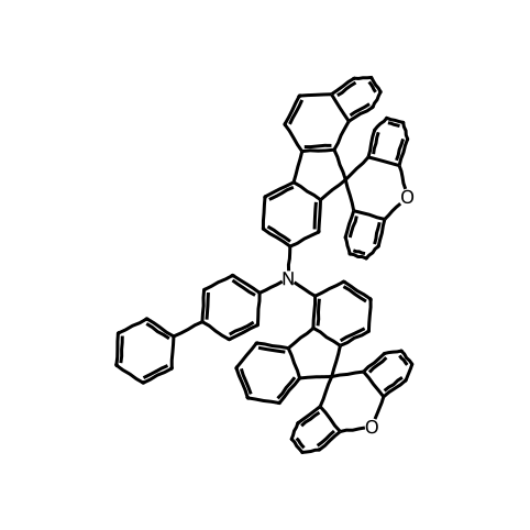 c1ccc(-c2ccc(N(c3ccc4c(c3)C3(c5ccccc5Oc5ccccc53)c3c-4ccc4ccccc34)c3cccc4c3-c3ccccc3C43c4ccccc4Oc4ccccc43)cc2)cc1